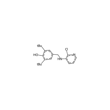 CC(C)(C)c1cc(CNc2cccnc2Cl)cc(C(C)(C)C)c1O